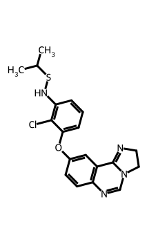 CC(C)SNc1cccc(Oc2ccc3c(c2)C2=NCCN2C=N3)c1Cl